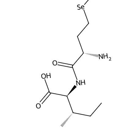 CC[C@H](C)[C@H](NC(=O)[C@@H](N)CC[Se]C)C(=O)O